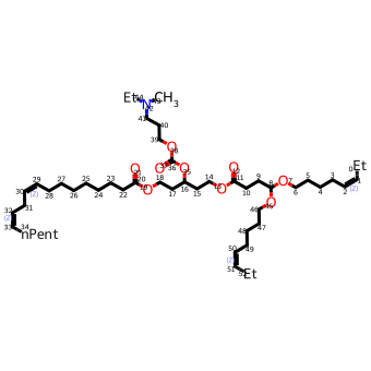 CC/C=C\CCCCOC(CCC(=O)OCCC(CCOC(=O)CCCCCCC/C=C\C/C=C\CCCCC)OC(=O)OCCCN(C)CC)OCCCC/C=C\CC